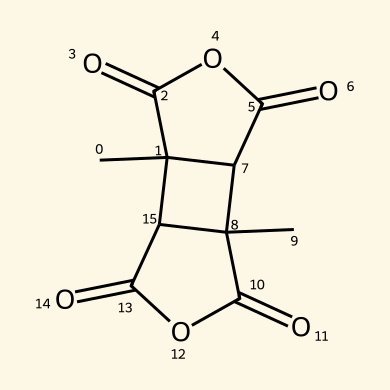 CC12C(=O)OC(=O)C1C1(C)C(=O)OC(=O)C21